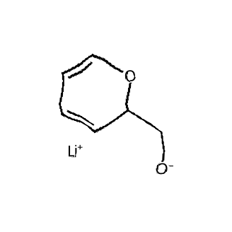 [Li+].[O-]CC1C=CC=CO1